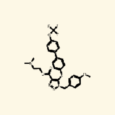 COc1ccc(Cn2nnc(C(=O)OCCN(C)C)c2Sc2ccc(-c3ccc(OC(F)(F)F)cc3)cc2)cc1